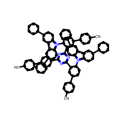 N#Cc1ccc(-c2ccc(-c3nc(-c4cc(-c5ccc(C#N)cc5)ccc4-n4c5ccc(-c6ccccc6)cc5c5cc(-c6ccccc6)ccc54)nc(-c4cc(-c5ccc(C#N)cc5)ccc4-n4c5ccc(-c6ccccc6)cc5c5cc(-c6ccccc6)ccc54)n3)cc2)cc1